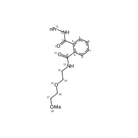 CCCNC(=O)c1ccccc1C(=O)NCCOCCOC